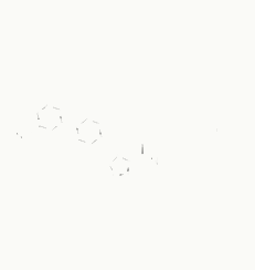 Cc1sc(C)c(C(=O)NC2CC3(C2)CC(OO)C3)c1Cc1ccc(-c2cc(F)cc(C#N)c2)cc1